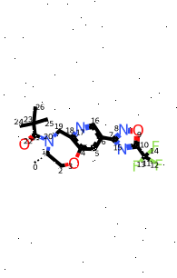 C[C@H]1COc2cc(-c3noc(C(F)(F)F)n3)cnc2CN1C(=O)C(C)(C)C